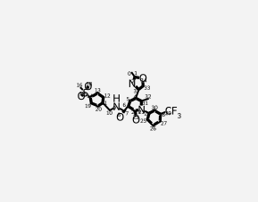 Cc1nc(-c2cc(C(=O)NCc3ccc(S(C)(=O)=O)cc3)c(=O)n(-c3cccc(C(F)(F)F)c3)c2C)co1